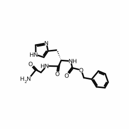 NC(=O)CNC(=O)[C@H](Cc1c[nH]cn1)NC(=O)OCc1ccccc1